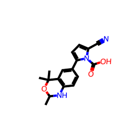 CC1Nc2ccc(-c3ccc(C#N)n3C(=O)O)cc2C(C)(C)O1